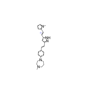 CN1CCCN(c2ccc(C=Cc3cc(/C=C/c4cccn4C)[nH]n3)cc2)CC1